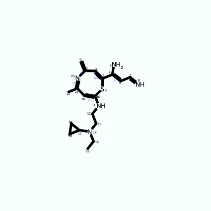 C=C1/C=C(/C(N)=C/C=N)S/C(NCCN(CC)C2CC2)=C\C(C)=N/1